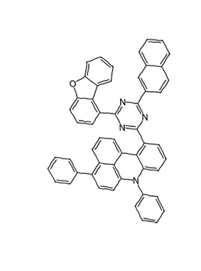 c1ccc(-c2ccc3c4c(cccc24)-c2c(-c4nc(-c5ccc6ccccc6c5)nc(-c5cccc6oc7ccccc7c56)n4)cccc2N3c2ccccc2)cc1